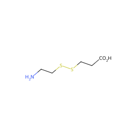 NCCSSCCC(=O)O